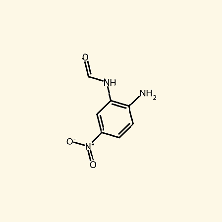 Nc1ccc([N+](=O)[O-])cc1NC=O